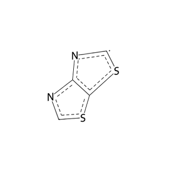 [c]1nc2ncsc2s1